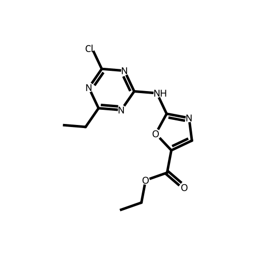 CCOC(=O)c1cnc(Nc2nc(Cl)nc(CC)n2)o1